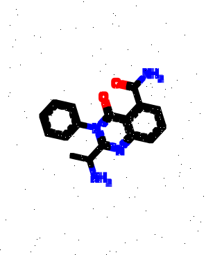 CC(N)c1nc2cccc(C(N)=O)c2c(=O)n1-c1ccccc1